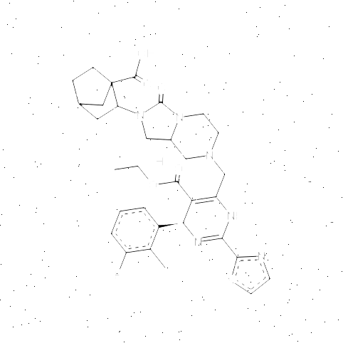 CCOC(=O)C1=C(CN2CCN3C(=O)N(C4CC5CCC4(C(=O)O)C5)C[C@@H]3C2)NC(c2nccs2)=N[C@H]1c1cccc(F)c1C